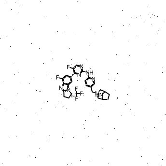 Fc1cnc(Nc2ccc(CN3CC4CCC(C3)N4)cn2)nc1-c1cc(F)c2nc3n(c2c1)[C@H](C(F)(F)F)CC3